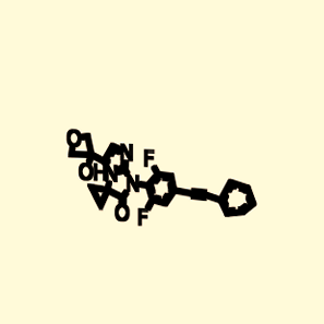 O=C1N(c2c(F)cc(C#Cc3ccccc3)cc2F)c2ncc(C3(O)COC3)n2C12CC2